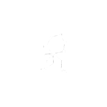 N[CH2][Pt]1([I])([I])([CH2]N)[Pt][Pt][Pt][Pt][Pt]1